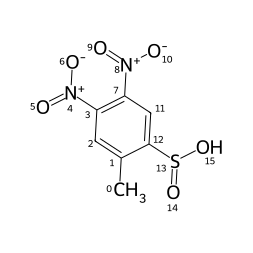 Cc1cc([N+](=O)[O-])c([N+](=O)[O-])cc1S(=O)O